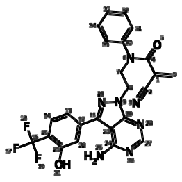 C=C(C#N)C(=O)N(CCn1nc(-c2ccc(C(F)(F)F)c(O)c2)c2c(N)ncnc21)c1ccccc1